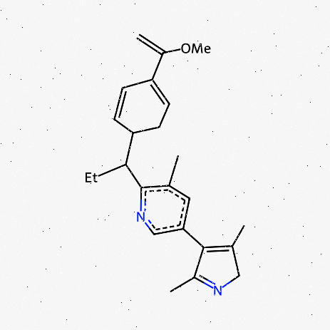 C=C(OC)C1=CCC(C(CC)c2ncc(C3=C(C)CN=C3C)cc2C)C=C1